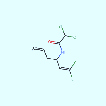 C=CCC(C=C(Cl)Cl)NC(=O)C(Cl)Cl